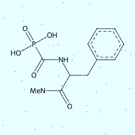 CNC(=O)C(Cc1ccccc1)NC(=O)P(=O)(O)O